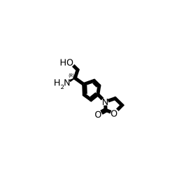 N[C@@H](CO)c1ccc(N2CCOC2=O)cc1